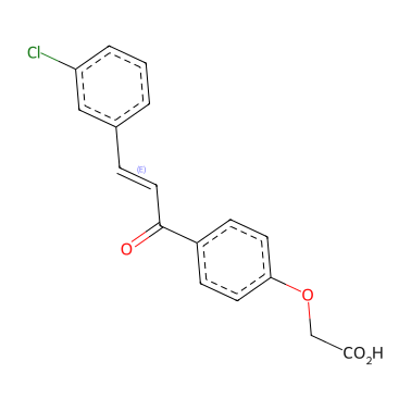 O=C(O)COc1ccc(C(=O)/C=C/c2cccc(Cl)c2)cc1